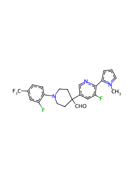 Cn1cccc1-c1ncc(C2(C=O)CCN(c3ccc(C(F)(F)F)cc3F)CC2)cc1F